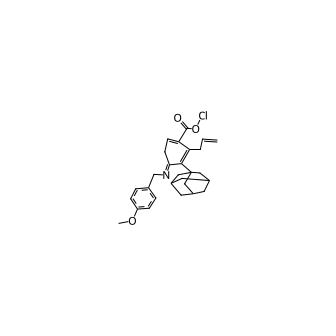 C=CCC1=C(C23CC4CC(CC(C4)C2)C3)C(=NCc2ccc(OC)cc2)CC=C1C(=O)OCl